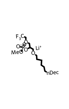 CCCCCCCCCCCCCCCCOCC(COCC(F)(F)F)OP(=O)([O-])OC.[Li+]